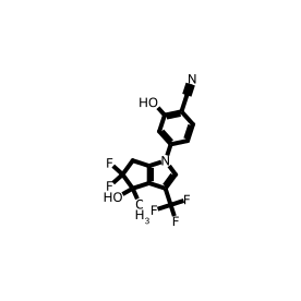 CC1(O)c2c(C(F)(F)F)cn(-c3ccc(C#N)c(O)c3)c2CC1(F)F